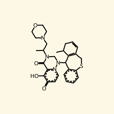 CC1CC=CC2=C1C(N1CN(C(C)CN3CCOCC3)C(=O)c3c(O)c(=O)ccn31)c1ccccc1SC2